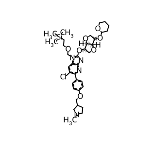 CN1CCC(COc2ccc(-c3nc4nc(O[C@@H]5CO[C@H]6[C@@H]5OC[C@H]6OC5CCCCO5)n(COCC[Si](C)(C)C)c4cc3Cl)cc2)C1